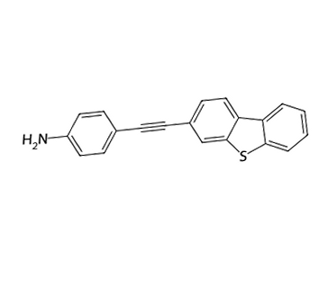 Nc1ccc(C#Cc2ccc3c(c2)sc2ccccc23)cc1